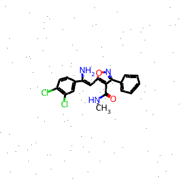 CNC(=O)c1c(-c2ccccc2)noc1/C=C(\N)c1ccc(Cl)c(Cl)c1